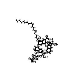 CCCCCCCC/C=C\CCCCCCCC(=O)O.O=C(O)C(=O)O.O=C(O)c1cc2ccccc2c(Cc2c(O)c(C(=O)O)cc3ccccc23)c1O.O=S(=O)(O)c1ccc2ccccc2c1.O=[N+]([O-])O